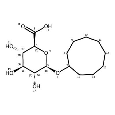 O=C(O)[C@H]1O[C@@H](OC2CCCCCCCC2)[C@H](O)[C@@H](O)[C@@H]1O